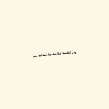 C#CC#CC#CC#CC#CC#CC#CC#CC#N